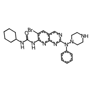 O=C(Nc1nc2nc(N(c3ccccc3)N3CCNCC3)ncc2cc1Br)NC1CCCCC1